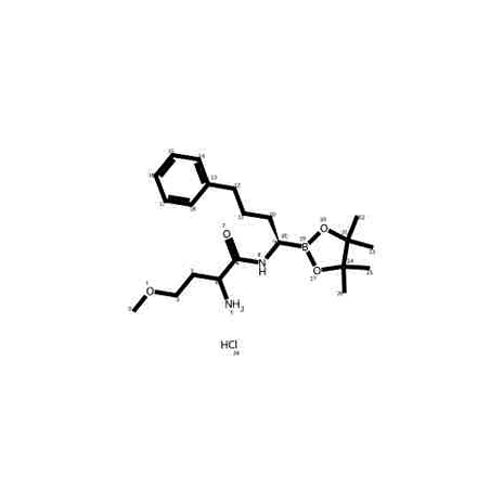 COCCC(N)C(=O)N[C@@H](CCCc1ccccc1)B1OC(C)(C)C(C)(C)O1.Cl